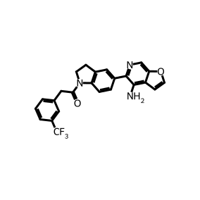 Nc1c(-c2ccc3c(c2)CCN3C(=O)Cc2cccc(C(F)(F)F)c2)ncc2occc12